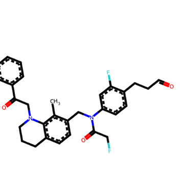 Cc1c(CN(C(=O)CF)c2ccc(CCC=O)c(F)c2)ccc2c1N(CC(=O)c1ccccc1)CCC2